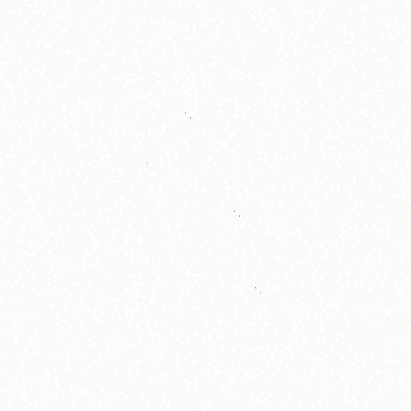 O=[N+]([O-])c1ccc(Cc2cc(Cc3ccc([N+](=O)[O-])cc3)nc(Cc3ccc([N+](=O)[O-])cc3)c2)cc1